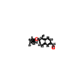 Cc1c(O[Si](C)(C)C(C)(C)C)ccc2cc(C=O)ccc12